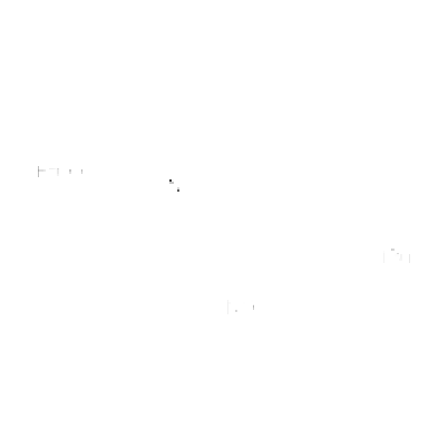 CCOC(=O)Cn1cc([N+](=O)[O-])c2c(CC(C)(C)C)cccc21